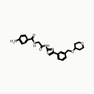 Nc1ccc(C(=O)NCC(=O)Nc2nc(-c3cccc(COC4CCOCC4)c3)cs2)cc1